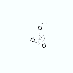 COc1ccc(CNC(=O)N2[C@H]3CN(Cc4ccc(F)cc4F)C(=O)[C@H](c4ccccc4)N3C(=O)CN2C)cc1